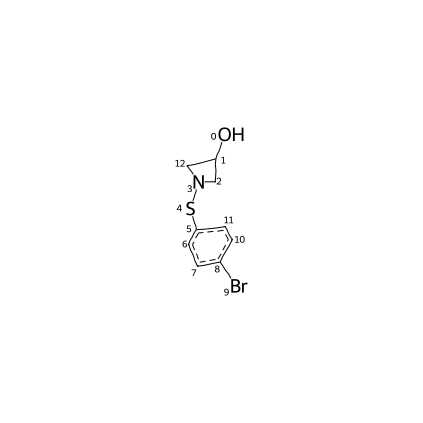 OC1CN(Sc2ccc(Br)cc2)C1